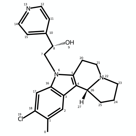 Cc1cc2c3c(n(C[C@@H](O)c4ccncc4)c2cc1Cl)CCN1CCC[C@H]31